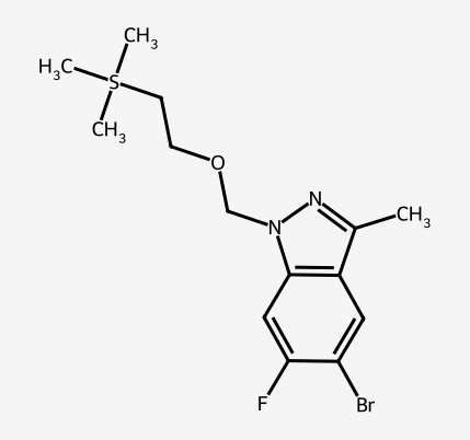 Cc1nn(COCCS(C)(C)C)c2cc(F)c(Br)cc12